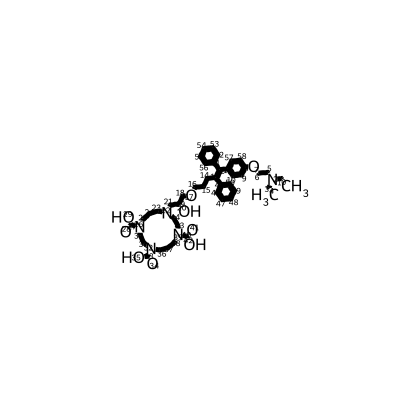 CCN(CC)CCOc1ccc(/C(=C(/CCCOCC(O)CN2CCCN(C(=O)O)CCN(C(=O)O)CCCN(C(=O)O)CC2)c2ccccc2)c2ccccc2)cc1